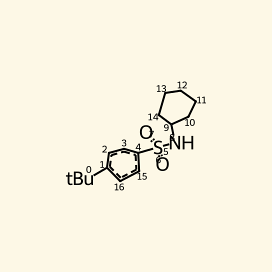 CC(C)(C)c1ccc(S(=O)(=O)NC2CCCCC2)cc1